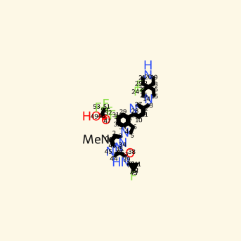 CNc1cc(N2CCc3c(-c4ccc(CN5CCC6(CCNCC6)C(F)(F)C5)cn4)cc(F)cc32)nn2c(C(=O)N[C@@H]3C[C@@H]3F)cnc12.O=C(O)C(F)(F)F